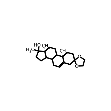 CC1(O)CCC2C3CC=C4CC5(CC[C@]4(C)C3CC[C@@]21C)OCCO5